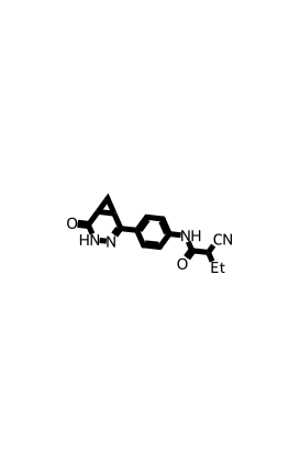 CCC(C#N)C(=O)Nc1ccc(C2=NNC(=O)C3CC23)cc1